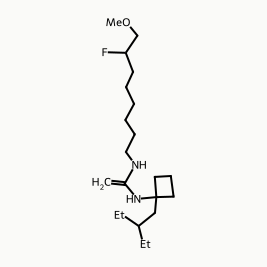 C=C(NCCCCCCC(F)COC)NC1(CC(CC)CC)CCC1